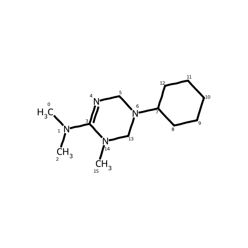 CN(C)C1=NCN(C2CCCCC2)CN1C